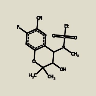 CCS(=O)(=O)N(C)C1c2cc(C#N)c(F)cc2OC(C)(C)C1O